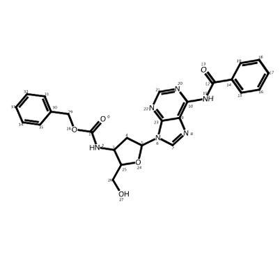 O=C(NC1CC(n2cnc3c(NC(=O)c4ccccc4)ncnc32)OC1CO)OCc1ccccc1